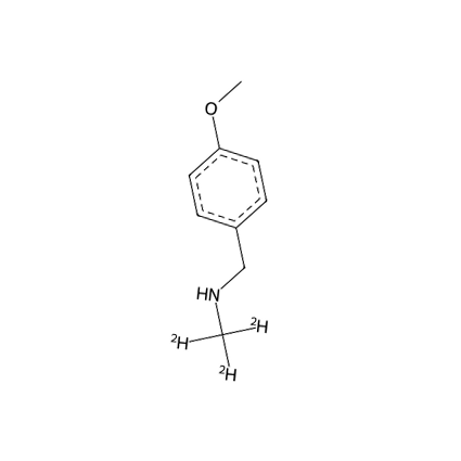 [2H]C([2H])([2H])NCc1ccc(OC)cc1